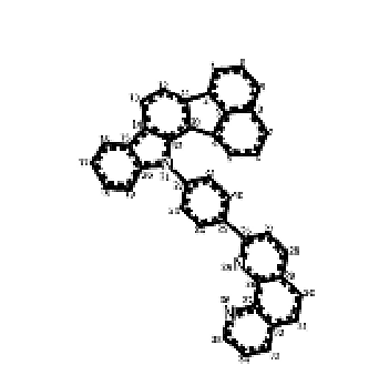 c1cc2c3c(cccc3c1)-c1c-2ccc2c3ccccc3n(-c3ccc(-c4ccc5ccc6cccnc6c5n4)cc3)c12